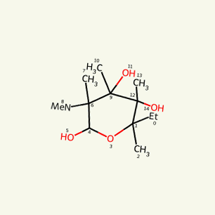 CCC1(C)OC(O)C(C)(NC)C(C)(O)C1(C)O